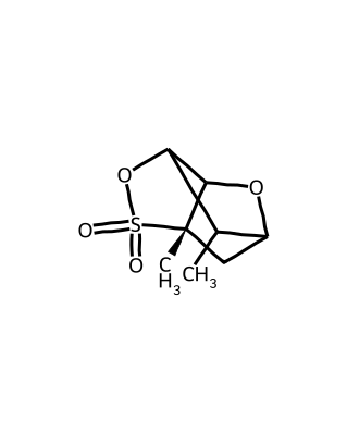 CC1C2C[C@@]3(C)C(O2)C1OS3(=O)=O